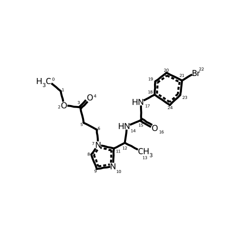 CCOC(=O)CCn1ccnc1C(C)NC(=O)Nc1ccc(Br)cc1